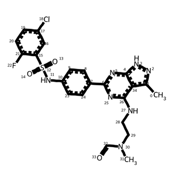 Cc1n[nH]c2nc(-c3ccc(NS(=O)(=O)c4cc(Cl)ccc4F)cc3)nc(NCCN(C)C=O)c12